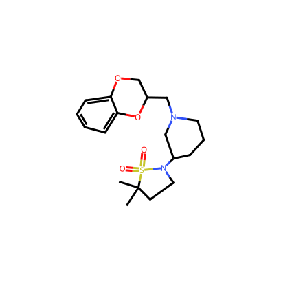 CC1(C)CCN(C2CCCN(CC3COc4ccccc4O3)C2)S1(=O)=O